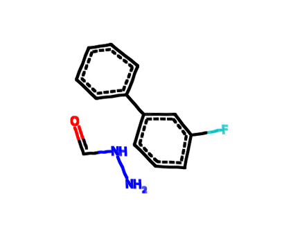 Fc1cccc(-c2ccccc2)c1.NNC=O